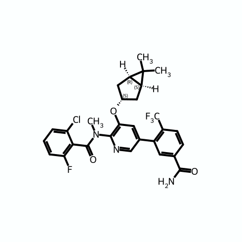 CN(C(=O)c1c(F)cccc1Cl)c1ncc(-c2cc(C(N)=O)ccc2C(F)(F)F)cc1O[C@@H]1C[C@@H]2[C@H](C1)C2(C)C